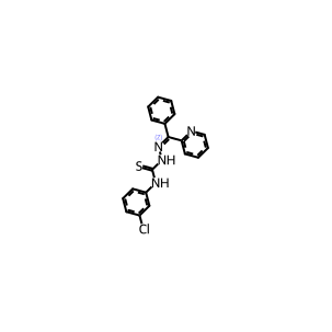 S=C(N/N=C(/c1ccccc1)c1ccccn1)Nc1cccc(Cl)c1